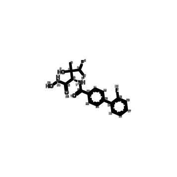 CC(O)(C(F)F)[C@H](NC(=O)c1ccc(-c2ccccc2F)cc1)C(=O)NO